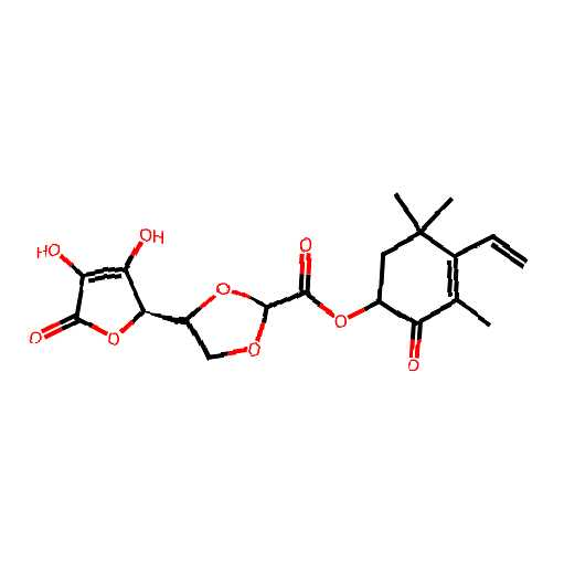 C=CC1=C(C)C(=O)C(OC(=O)C2OCC([C@H]3OC(=O)C(O)=C3O)O2)CC1(C)C